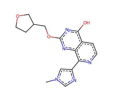 Cn1cnc(-c2nccc3c(O)nc(OCC4CCOC4)nc23)c1